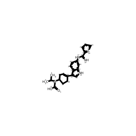 CC(C)N(C(=O)O)C1CC=C(c2c[nH]c3cc(NC(=N)c4cccs4)ccc23)CC1